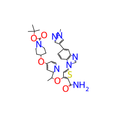 CC(Oc1cc(-n2cnc3cc(-c4cnn(C)c4)ccc32)sc1C(N)=O)c1cc(OC2CCN(C(=O)OC(C)(C)C)CC2)ccn1